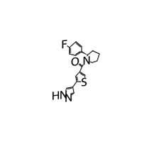 O=C(c1csc(-c2cn[nH]c2)c1)N1CCCC[C@@H]1c1ccc(F)cc1